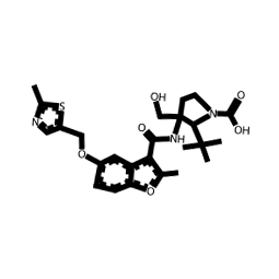 Cc1ncc(COc2ccc3oc(C)c(C(=O)NC4(CO)CCN(C(=O)O)C4C(C)(C)C)c3c2)s1